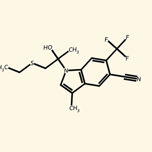 CCSCC(C)(O)n1cc(C)c2cc(C#N)c(C(F)(F)F)cc21